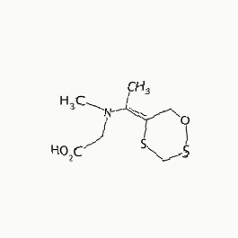 C/C(=C1\COSCS1)N(C)CC(=O)O